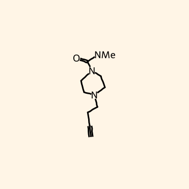 C#CCCN1CCN(C(=O)NC)CC1